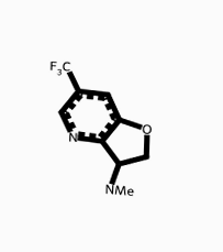 CNC1COc2cc(C(F)(F)F)cnc21